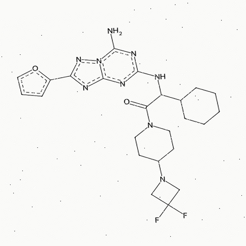 Nc1nc(NC(C(=O)N2CCC(N3CC(F)(F)C3)CC2)C2CCCCC2)nc2nc(-c3ccco3)nn12